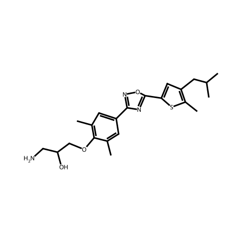 Cc1cc(-c2noc(-c3cc(CC(C)C)c(C)s3)n2)cc(C)c1OCC(O)CN